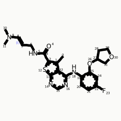 Cc1c(C(=O)NC/C=C/N(C)C)sc2ncnc(Nc3ccc(F)cc3OC3CCOC3)c12